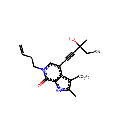 C=CCCn1cc(C#CC(C)(O)CC#N)c2c(C(=O)OCC)c(C)[nH]c2c1=O